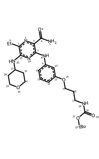 CCc1nc(C(N)=O)c(Nc2cccc(OCCCNC(=O)OC(C)(C)C)c2)nc1NC1CCOCC1